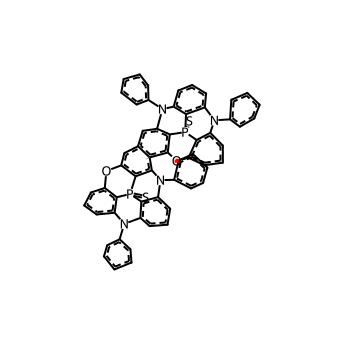 S=P12c3c4cccc3N(c3ccccc3)c3cccc(c31)N(c1ccccc1)c1cc3cc5c6c(c3c(c12)O4)N(c1ccccc1)c1cccc2c1P6(=S)c1c(cccc1N2c1ccccc1)O5